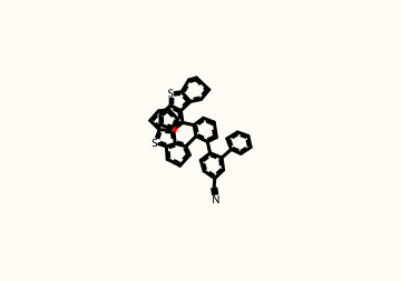 N#Cc1ccc(-c2cccc(-c3cccc4sc5ccccc5c34)c2-c2cccc3sc4ccccc4c23)c(-c2ccccc2)c1